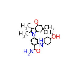 Cc1c2c(n(-c3ccc(C(N)=O)c(N[C@H]4CC[C@H](O)CC4)c3)c1C)CC(C)(C)CC2=O